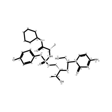 C[C@H](NP(=O)(OC[C@H](O[C@H](CO)n1ccc(N)nc1=O)[C@H](C)O)Oc1ccc(Cl)cc1)C(=O)OC1CCCCC1